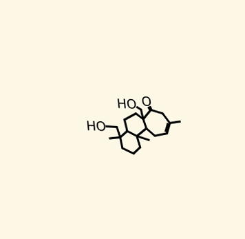 CC1=CCC2C(CO)(CCC3C(C)(CO)CCCC32C)C(=O)C1